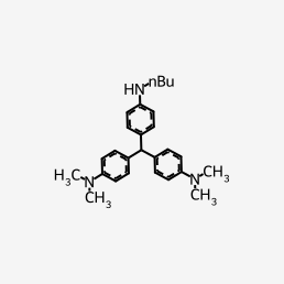 CCCCNc1ccc(C(c2ccc(N(C)C)cc2)c2ccc(N(C)C)cc2)cc1